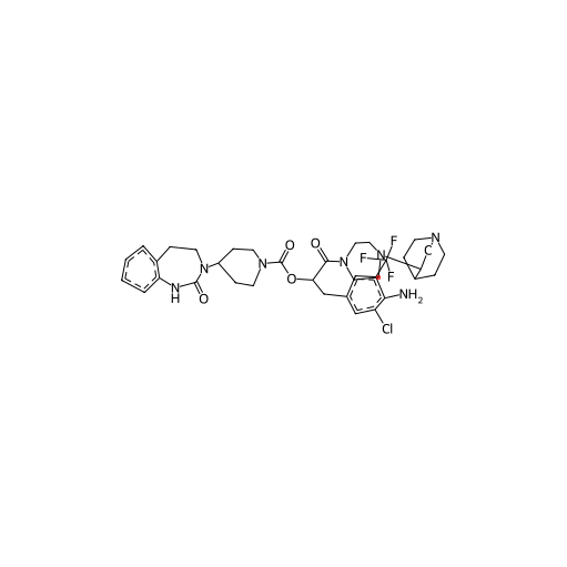 Nc1c(Cl)cc(CC(OC(=O)N2CCC(N3CCc4ccccc4NC3=O)CC2)C(=O)N2CCN(C3CN4CCC3CC4)CC2)cc1C(F)(F)F